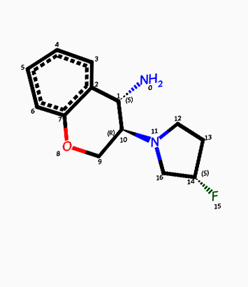 N[C@H]1c2ccccc2OC[C@@H]1N1CC[C@H](F)C1